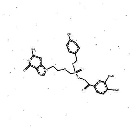 COc1ccc(C(=O)COP(=O)(COCCn2cnc3c(=O)[nH]c(N)nc32)OCc2ccc(C)cc2)cc1OC